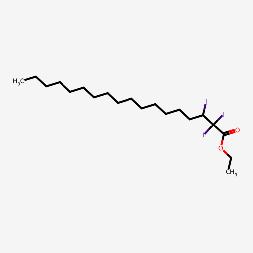 CCCCCCCCCCCCCCCC(I)C(I)(I)C(=O)OCC